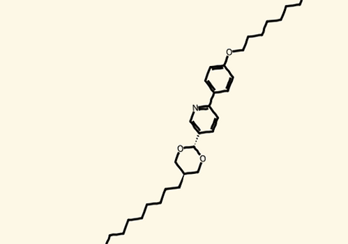 CCCCCCCCCC[C@H]1CO[C@H](c2ccc(-c3ccc(OCCCCCCCC)cc3)nc2)OC1